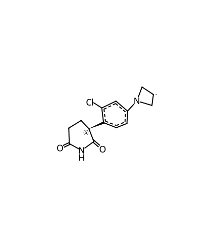 O=C1CC[C@@H](c2ccc(N3C[CH]C3)cc2Cl)C(=O)N1